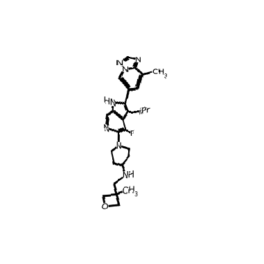 Cc1cc(-c2[nH]c3cnc(N4CCC(NCC5(C)COC5)CC4)c(F)c3c2C(C)C)cn2ncnc12